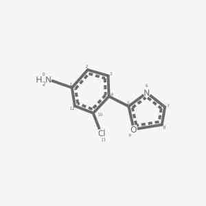 Nc1ccc(-c2ncco2)c(Cl)c1